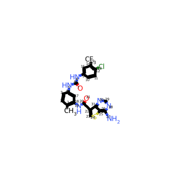 Cc1ccc(NC(=O)Nc2ccc(Cl)c(C(F)(F)F)c2)cc1NC(=O)c1csc2c(N)ncnc12